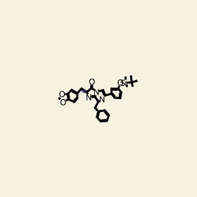 CC(C)(C)[Si](C)(C)Oc1cccc(C2=CN3C(=O)/C(=C/c4ccc5c(c4)OCO5)N=C3C(Cc3ccccc3)=N2)c1